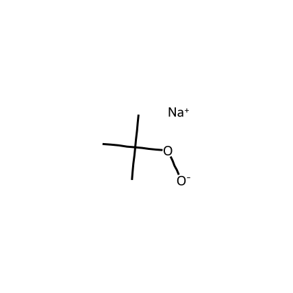 CC(C)(C)O[O-].[Na+]